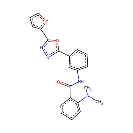 CN(C)c1ccccc1C(=O)Nc1cccc(-c2nnc(-c3ccco3)o2)c1